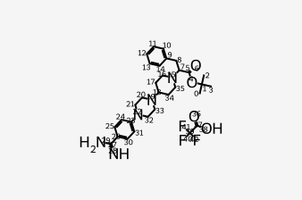 CC(C)(C)OC(=O)C(Cc1ccccc1)N1CCC(N2CCN(c3ccc(C(=N)N)cc3)CC2)CC1.O=C(O)C(F)(F)F